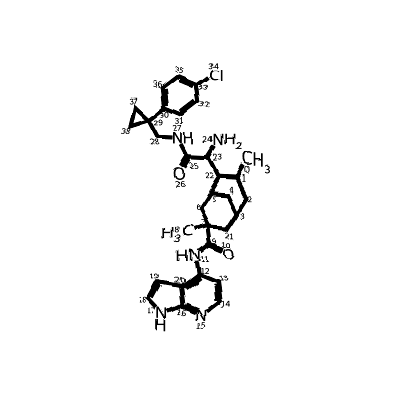 CC1CC2CC(CC(C)(C(=O)Nc3ccnc4[nH]ccc34)C2)C1C(N)C(=O)NCC1(c2ccc(Cl)cc2)CC1